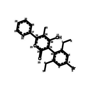 CCc1cc(Br)cc(CC)c1-c1c(O)c(C)c(-c2ccccn2)oc1=O